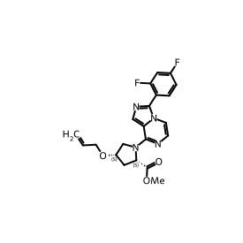 C=CCO[C@H]1C[C@@H](C(=O)OC)N(c2nccn3c(-c4ccc(F)cc4F)ncc23)C1